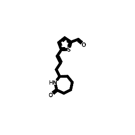 O=Cc1ccc(/C=C/CC2CCCCC(=O)N2)s1